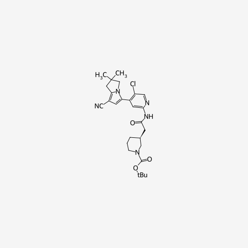 CC1(C)Cc2c(C#N)cc(-c3cc(NC(=O)C[C@@H]4CCCN(C(=O)OC(C)(C)C)C4)ncc3Cl)n2C1